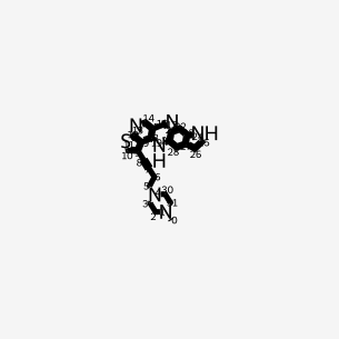 CN1CCN(CCC#Cc2csc3ncc(C#N)c(Nc4ccc5[nH]ccc5c4)c23)CC1